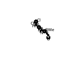 COc1cc2c(Oc3ccc(NS(=O)(=O)c4cc(Cl)ccc4Cl)cc3F)ccnc2cc1OCCN1CCOCC1